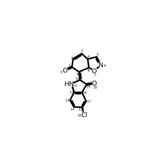 O=C1C=CC2C=NOC2C1=C1Nc2ccc(Cl)cc2C1=O